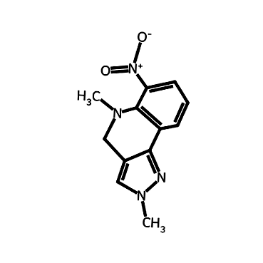 CN1Cc2cn(C)nc2-c2cccc([N+](=O)[O-])c21